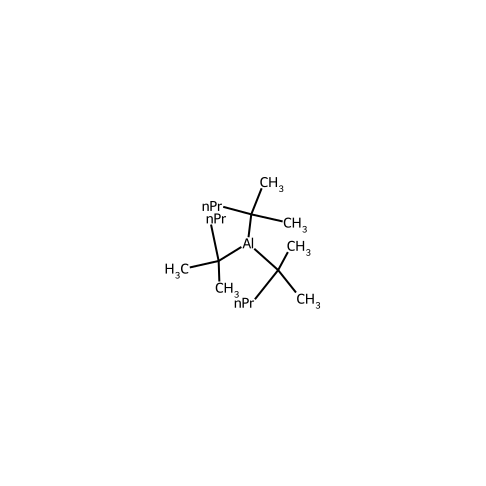 CCC[C](C)(C)[Al]([C](C)(C)CCC)[C](C)(C)CCC